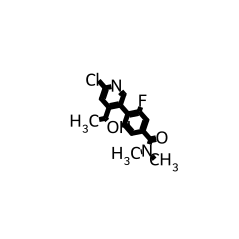 CC(O)c1cc(Cl)ncc1-c1ccc(C(=O)N(C)C)cc1F